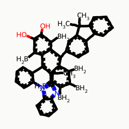 Bc1c(B)c(B)c2c(-c3ccccc3-n3c(CC)nc4ccccc43)c3c(B)c(O)c(O)c(B)c3c(-c3ccc4c(c3)C(C)(C)c3ccccc3-4)c2c1B